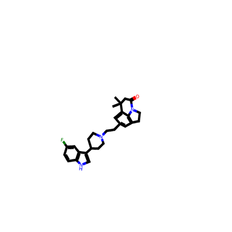 CC1(C)CC(=O)N2CCc3cc(CCN4CCC(c5c[nH]c6ccc(F)cc56)CC4)cc1c32